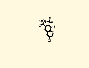 O=C(O)[C@@H]1Cc2cc(Cl)cnc2N[C@@H]1C(F)(F)F